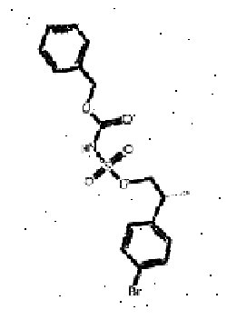 C[C@@H](COS(=O)(=O)NC(=O)OCc1ccccc1)c1ccc(Br)cc1